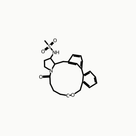 CS(=O)(=O)NC1CCN2C(=O)CCCCOCc3ccccc3-c3cccc(c3)CC12